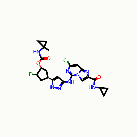 CC1(NC(=O)O[C@H]2C[C@@H](c3cc(Nc4nc(Cl)cc5nc(C(=O)NC6CC6)cn45)n[nH]3)C[C@H]2F)CC1